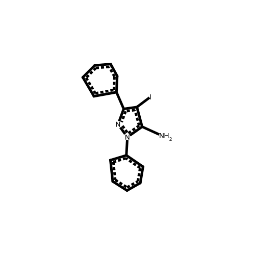 Nc1c(I)c(-c2ccccc2)nn1-c1ccccc1